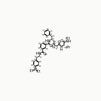 CCNC(=O)[C@@H](NC(=O)[C@H](C)NC[C@H](Cc1ccccc1)NC(=O)c1cccc(C(=O)NCCc2ccc(N(CC)CC)cc2)c1)C(C)C